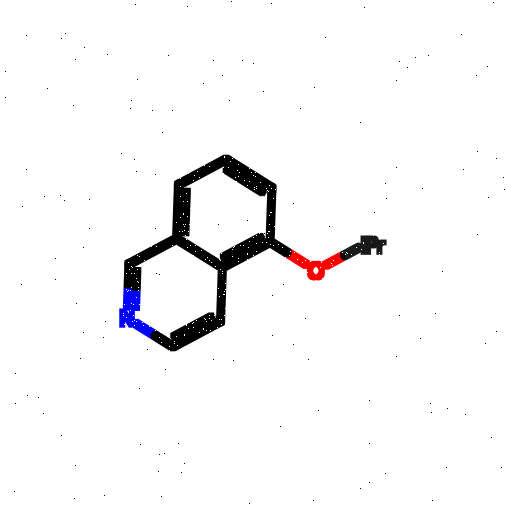 CC(C)Oc1cccc2cnccc12